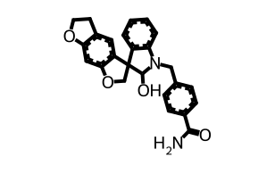 NC(=O)c1ccc(CN2c3ccccc3C3(COc4cc5c(cc43)CCO5)C2O)cc1